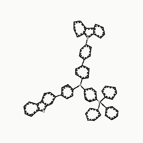 c1ccc([Si](c2ccccc2)(c2ccccc2)c2ccc(N(c3ccc(-c4ccc(-n5c6ccccc6c6ccccc65)cc4)cc3)c3ccc(-c4ccc5c(c4)oc4ccccc45)cc3)cc2)cc1